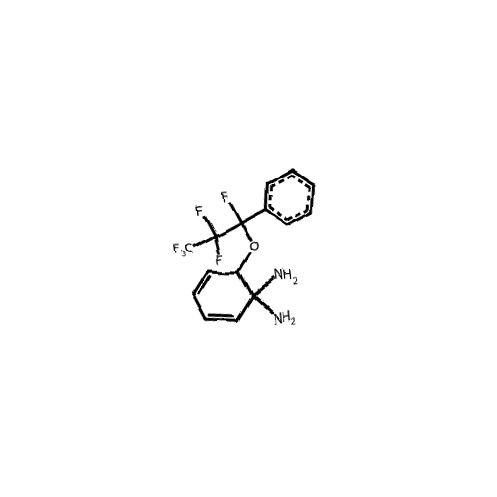 NC1(N)C=CC=CC1OC(F)(c1ccccc1)C(F)(F)C(F)(F)F